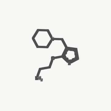 NCCOc1sccc1CN1CCCCC1